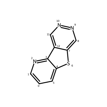 c1cnc2c(c1)sc1cnncc12